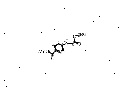 COC(=O)c1ccc(NCC(=O)OC(C)(C)C)cn1